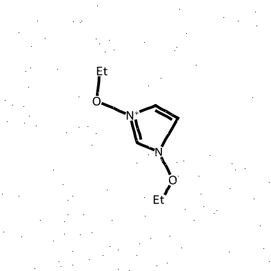 CCOn1cc[n+](OCC)c1